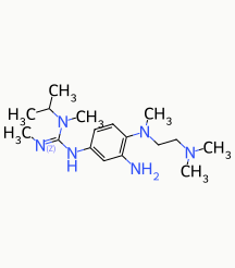 C/N=C(/Nc1ccc(N(C)CCN(C)C)c(N)c1)N(C)C(C)C